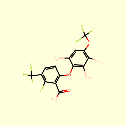 Bc1cc(OC(F)(F)F)c(B)c(B)c1Oc1ccc(C(F)(F)F)c(F)c1C(=O)O